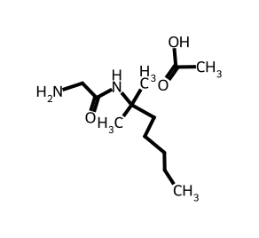 CC(=O)O.CCCCCC(C)(C)NC(=O)CN